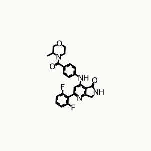 CC1COCCN1C(=O)c1ccc(Nc2cc(-c3c(F)cccc3F)nc3c2C(=O)NC3)cc1